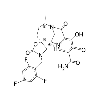 C[C@H]1CC[C@@]2(CN(Cc3c(F)cc(F)cc3F)C(=O)O2)[C@H]2CN1C(=O)c1c(O)c(=O)c(C(N)=O)cn12